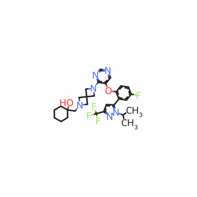 CC(C)n1nc(C(F)(F)F)cc1-c1cc(F)ccc1Oc1cncnc1N1CC2(CN(CC3(O)CCCCC3)C2)C1